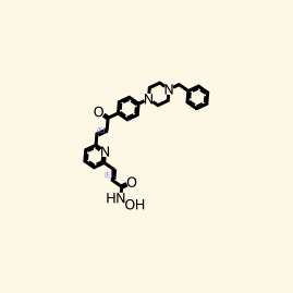 O=C(/C=C/c1cccc(/C=C/C(=O)c2ccc(N3CCN(Cc4ccccc4)CC3)cc2)n1)NO